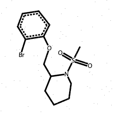 CS(=O)(=O)N1CCCCC1COc1ccccc1Br